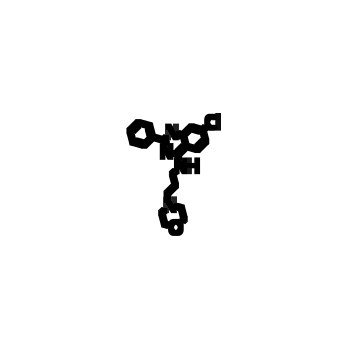 Clc1ccc2c(NCCCN3CCOCC3)nc(-c3ccccc3)nc2c1